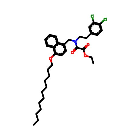 CCCCCCCCCCCCOc1ccc(CN(CCc2ccc(Cl)c(Cl)c2)C(=O)C(=O)OCC)c2ccccc12